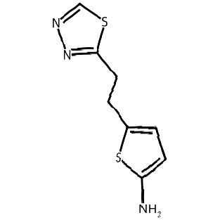 Nc1ccc(CCc2nncs2)s1